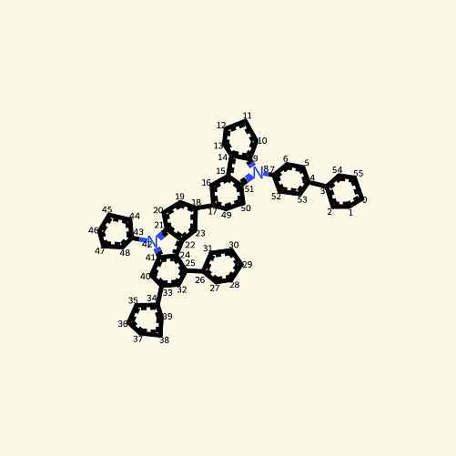 c1ccc(-c2ccc(-n3c4ccccc4c4cc(-c5ccc6c(c5)c5c(-c7ccccc7)cc(-c7ccccc7)cc5n6-c5ccccc5)ccc43)cc2)cc1